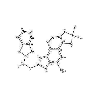 C[C@@H](Cc1nc2c3ccc4c(c3nc(N)n2n1)OC(F)(F)O4)N1Cc2ccncc2C1